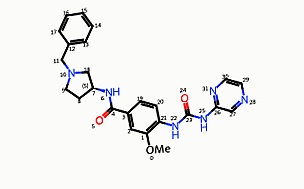 COc1cc(C(=O)N[C@H]2CCN(Cc3ccccc3)C2)ccc1NC(=O)Nc1cnccn1